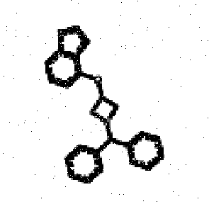 c1ccc(C(c2ccccc2)N2CC(Oc3cccc4sccc34)C2)cc1